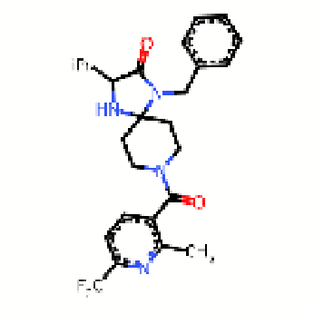 Cc1nc(C(F)(F)F)ccc1C(=O)N1CCC2(CC1)NC(C(C)C)C(=O)N2Cc1ccccc1